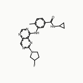 Cc1ccc(C(=O)NC2CC2)cc1Nc1ncnc2cnc(N3CCC(F)C3)nc12